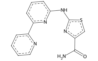 NC(=O)c1csc(Nc2cccc(-c3ccccn3)n2)n1